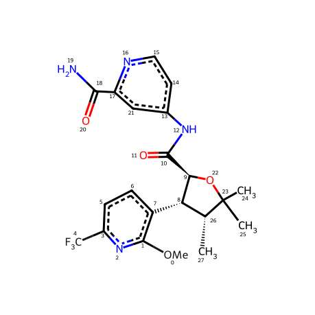 COc1nc(C(F)(F)F)ccc1[C@@H]1[C@@H](C(=O)Nc2ccnc(C(N)=O)c2)OC(C)(C)[C@@H]1C